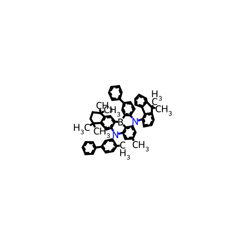 Cc1cc2c3c(c1)N(c1cccc4c1-c1ccccc1C4(C)C)c1ccc(-c4ccccc4)cc1B3c1cc3c(cc1N2c1cc(-c2ccccc2)ccc1C)C(C)(C)CCC3(C)C